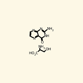 NC(CO)C(=O)O.Nc1nc2nccnc2c(=O)[nH]1